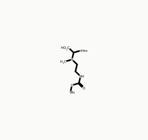 CCCCCCC(C(=O)O)N(C)CCNC(=O)OC(C)(C)C